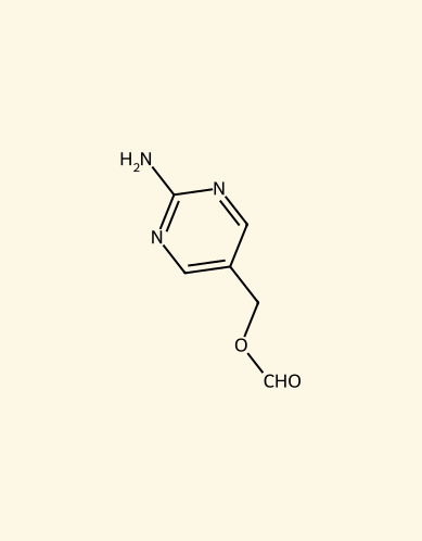 Nc1ncc(COC=O)cn1